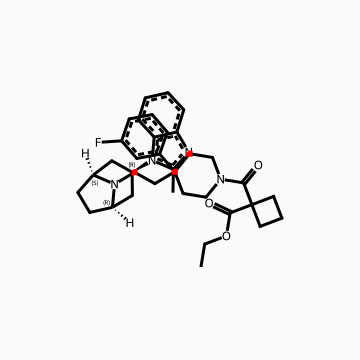 CCOC(=O)C1(C(=O)N2CCC(CCN3[C@@H]4CC[C@H]3C[C@@H](n3c(C)nc5ccccc53)C4)(c3cccc(F)c3)CC2)CCC1